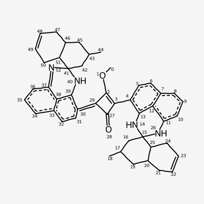 COC1=C(c2ccc3cccc4c3c2NC2(CC(C)CC3CC=CCC32)N4)C(=O)/C1=c1\ccc2cccc3c2c1NC1(CC(C)CC2CC=CCC21)N=3